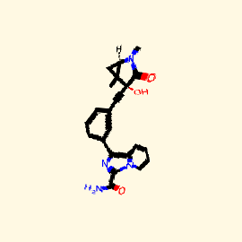 CN1C(=O)[C@](O)(C#Cc2cccc(-c3nc(C(N)=O)n4ccccc34)c2)C2(C)C[C@@H]12